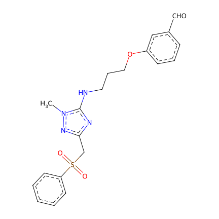 Cn1nc(CS(=O)(=O)c2ccccc2)nc1NCCCOc1cccc(C=O)c1